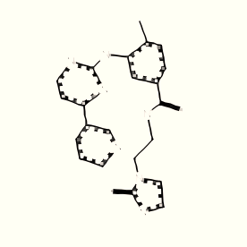 Cc1ccc(C(=O)NCCn2cc[nH]c2=O)cc1Nc1nccc(-c2cccnc2)n1